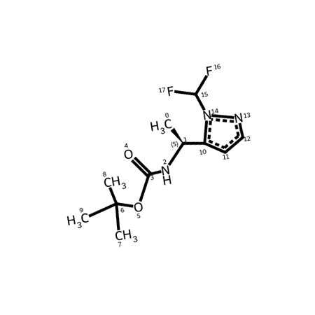 C[C@H](NC(=O)OC(C)(C)C)c1ccnn1C(F)F